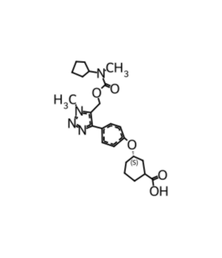 CN(C(=O)OCc1c(-c2ccc(O[C@H]3CCCC(C(=O)O)C3)cc2)nnn1C)C1CCCC1